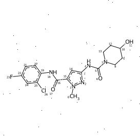 Cn1nc(NC(=O)N2CCC(O)CC2)cc1C(=O)Nc1ccc(F)cc1Cl